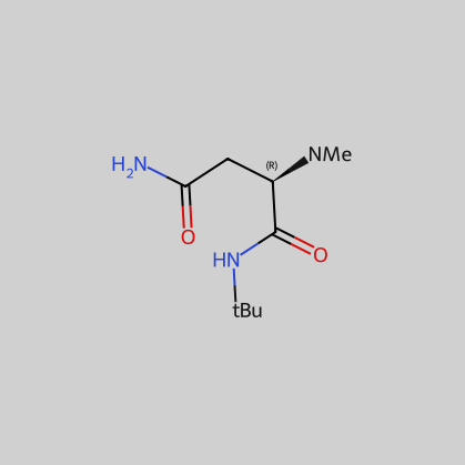 CN[C@H](CC(N)=O)C(=O)NC(C)(C)C